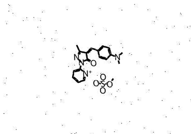 CC1=NN(c2cccc[n+]2C)C(=O)C1=Cc1ccc(N(C)C)cc1.COS(=O)(=O)[O-]